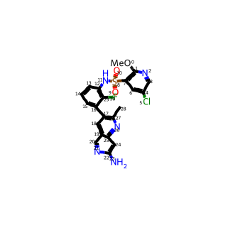 COc1ncc(Cl)cc1S(=O)(=O)Nc1cccc(-c2cc3cnc(N)cc3nc2C)c1F